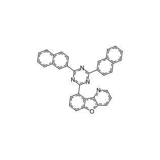 c1ccc2cc(-c3nc(-c4ccc5ccccc5c4)nc(-c4cccc5oc6cccnc6c45)n3)ccc2c1